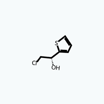 O[C@H](CCl)c1cccs1